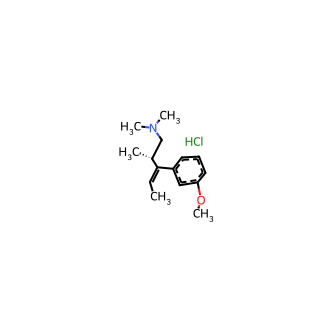 C/C=C(\c1cccc(OC)c1)[C@H](C)CN(C)C.Cl